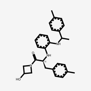 Cc1ccc(C[C@H](Nc2ccccc2NC(C)c2ccc(C)cc2)C(=O)N2CC(O)C2)cc1